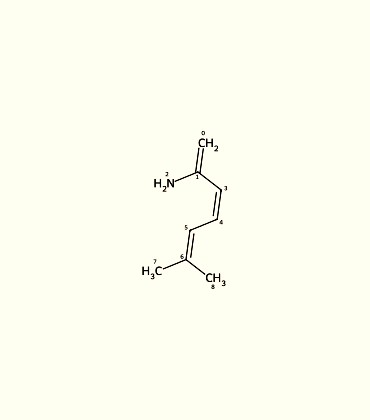 C=C(N)/C=C\C=C(C)C